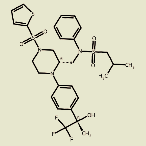 CC(C)CS(=O)(=O)N(C[C@H]1CN(S(=O)(=O)c2cccs2)CCN1c1ccc([C@](C)(O)C(F)(F)F)cc1)c1ccccc1